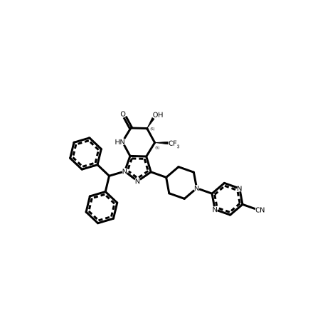 N#Cc1cnc(N2CCC(c3nn(C(c4ccccc4)c4ccccc4)c4c3[C@H](C(F)(F)F)[C@H](O)C(=O)N4)CC2)cn1